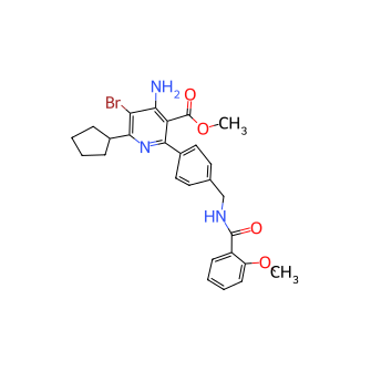 COC(=O)c1c(-c2ccc(CNC(=O)c3ccccc3OC)cc2)nc(C2CCCC2)c(Br)c1N